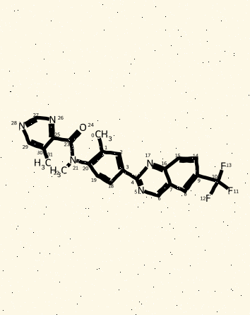 Cc1cc(-c2ncc3cc(C(F)(F)F)ccc3n2)ccc1N(C)C(=O)c1ncncc1C